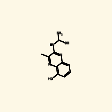 Cc1nc2c(O)cccc2nc1NC(N)O